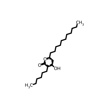 CCCCCCCCCCCc1cc(O)c(CCCCCC)c(=O)o1